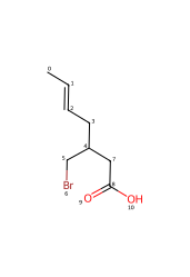 CC=CCC(CBr)CC(=O)O